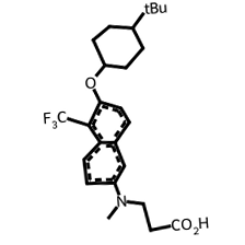 CN(CCC(=O)O)c1ccc2c(C(F)(F)F)c(OC3CCC(C(C)(C)C)CC3)ccc2c1